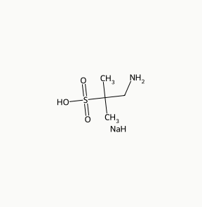 CC(C)(CN)S(=O)(=O)O.[NaH]